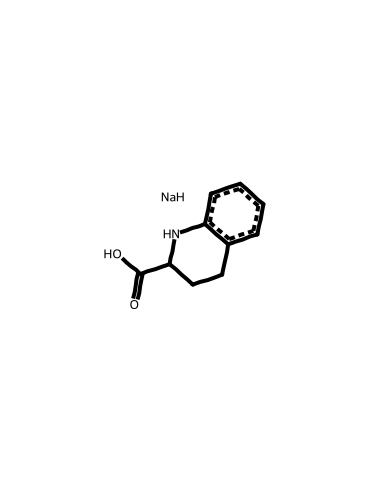 O=C(O)C1CCc2ccccc2N1.[NaH]